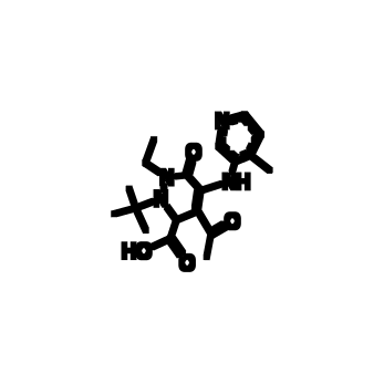 CCN1C(=O)C(Nc2cnccc2C)=C(C(C)=O)C(C(=O)O)N1C(C)(C)C